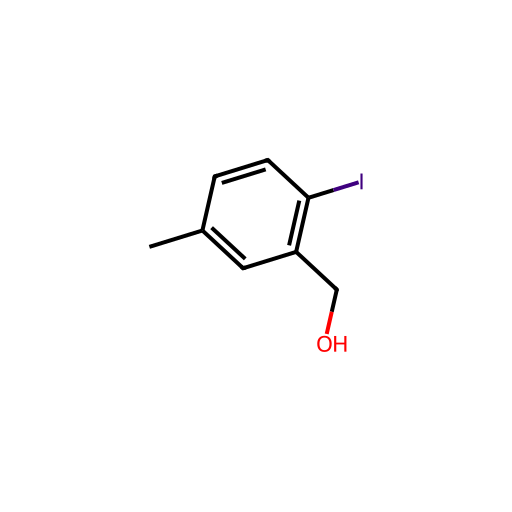 Cc1ccc(I)c(CO)c1